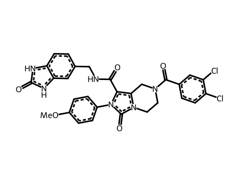 COc1ccc(-n2c(C(=O)NCc3ccc4[nH]c(=O)[nH]c4c3)c3n(c2=O)CCN(C(=O)c2ccc(Cl)c(Cl)c2)C3)cc1